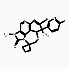 Cn1c(=O)n2c3c4c(ncc31)C=C(F)C(C)(c1ccc(F)nc1)C4OCC21CCC1